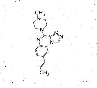 C/C=C/c1ccc2nc(N3CCN(C)CC3)c3nncn3c2c1